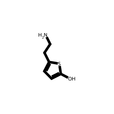 NCCc1ccc(O)s1